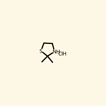 CC1(C)NCCS1.Cl